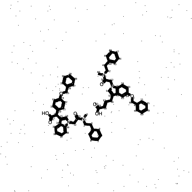 CN(CCc1ccccc1)C(=O)Cn1cc(C(C(=O)O)c2ccc(OCc3ccccc3)cc2)c2ccccc21.CN(CCc1ccccc1)C(=O)Cn1cc(CC=CC(=O)O)c2cc(OCc3ccccc3)ccc21